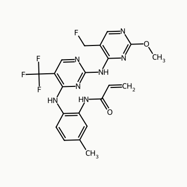 C=CC(=O)Nc1cc(C)ccc1Nc1nc(Nc2nc(OC)ncc2CF)ncc1C(F)(F)F